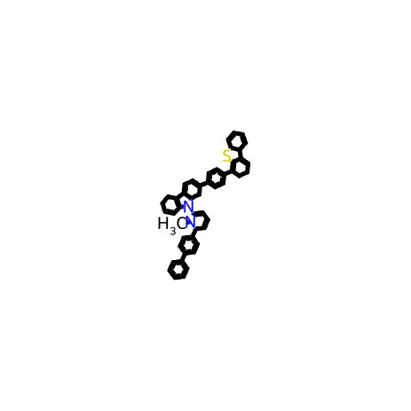 CN1C(N2C3=C(CCC=C3)C3=CC=C(c4ccc(C5=C6SC7C=CC=CC7C6=CCC5)cc4)CC32)=CC=CC1c1ccc(-c2ccccc2)cc1